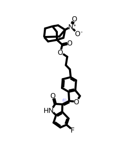 O=C1Nc2ccc(F)cc2/C1=C1\OCc2cc(CCCOC(=O)C34CC5CC(C3)CC([N+](=O)[O-])(C5)C4)ccc21